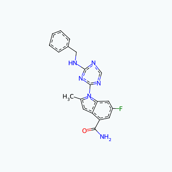 Cc1cc2c(C(N)=O)cc(F)cc2n1-c1ncnc(NCc2ccccc2)n1